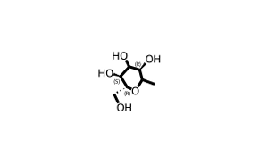 CC1O[C@H](CO)[C@@H](O)C(O)[C@H]1O